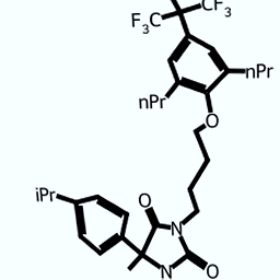 CCCc1cc(C(O)(C(F)(F)F)C(F)(F)F)cc(CCC)c1OCCCCN1C(=O)NC(C)(c2ccc(C(C)C)cc2)C1=O